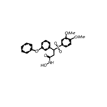 COc1ccc(S(=O)(=O)C(CC(=O)NO)c2cccc(Oc3ccccc3)c2)cc1OC